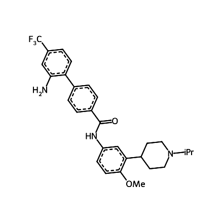 COc1ccc(NC(=O)c2ccc(-c3ccc(C(F)(F)F)cc3N)cc2)cc1C1CCN(C(C)C)CC1